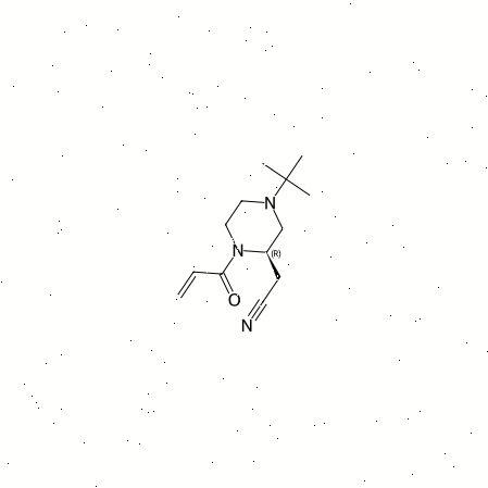 C=CC(=O)N1CCN(C(C)(C)C)C[C@H]1CC#N